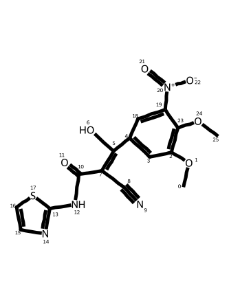 COc1cc(/C(O)=C(\C#N)C(=O)Nc2nccs2)cc([N+](=O)[O-])c1OC